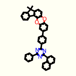 CC1(C)c2ccccc2-c2c1ccc1c2Oc2cc(-c3ccc(-c4nc(-c5ccccc5)nc(-c5cccc6ccccc56)n4)cc3)ccc2O1